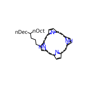 CCCCCCCCCCC(CCCCCCCC)CCCc1cc2cc3nc(cc4ccc(cc5nc(cc1[nH]2)C=C5)[nH]4)C=C3